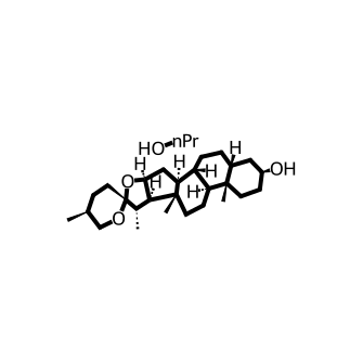 CCCO.C[C@H]1CC[C@@]2(OC1)O[C@H]1C[C@H]3[C@@H]4CC[C@@H]5C[C@@H](O)CC[C@]5(C)[C@H]4CC[C@]3(C)[C@H]1[C@@H]2C